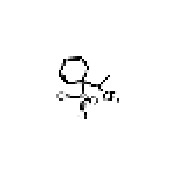 CC(C(F)(F)F)C1(S(=O)(=O)Cl)C=CC=CC1